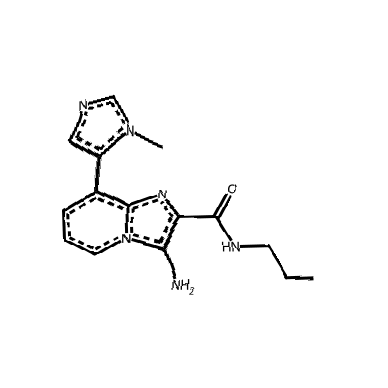 CCCNC(=O)c1nc2c(-c3cncn3C)cccn2c1N